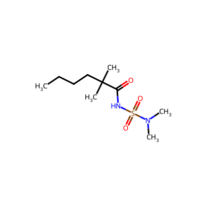 CCCCC(C)(C)C(=O)NS(=O)(=O)N(C)C